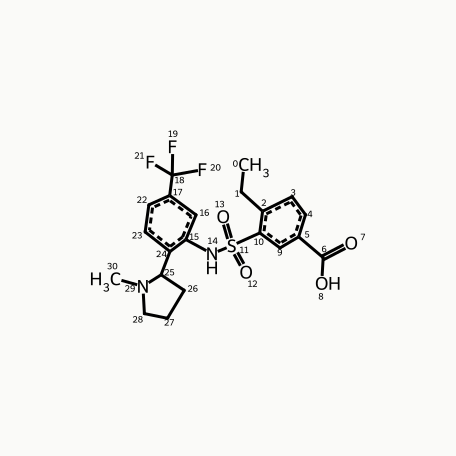 CCc1ccc(C(=O)O)cc1S(=O)(=O)Nc1cc(C(F)(F)F)ccc1C1CCCN1C